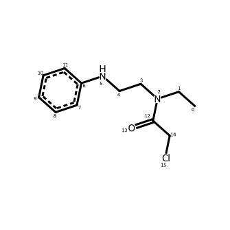 CCN(CCNc1ccccc1)C(=O)CCl